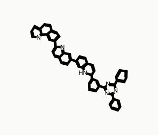 C1=CC(c2cccc(-c3nc(-c4ccccc4)nc(-c4ccccc4)n3)c2)Nc2cc(-c3ccc4ccc(-c5ccc6ccc7cccnc7c6c5)nc4c3)ccc21